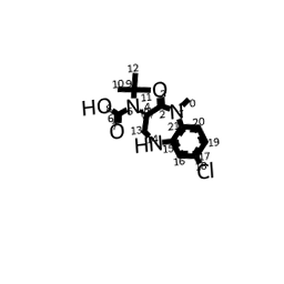 CN1C(=O)[C@H](N(C(=O)O)C(C)(C)C)CNc2cc(Cl)ccc21